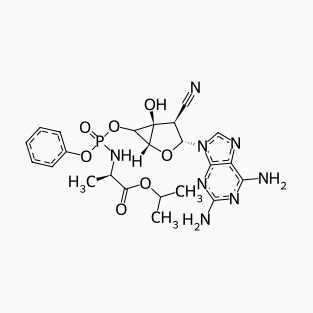 CC(C)OC(=O)[C@@H](C)NP(=O)(Oc1ccccc1)OC1[C@H]2O[C@@H](n3cnc4c(N)nc(N)nc43)[C@H](C#N)[C@@]12O